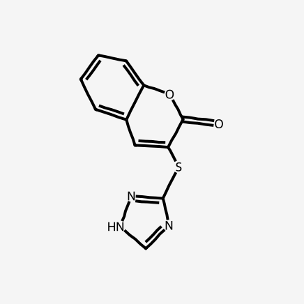 O=c1oc2ccccc2cc1Sc1nc[nH]n1